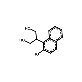 OCC(CO)c1c(O)ccc2ccccc12